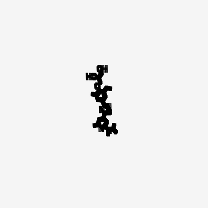 CCc1cc(-c2noc(-c3cc(C)nc(N(C)C(C)C)c3)n2)cc(C)c1OCC(O)CO